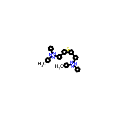 Cc1ccc(-c2nc(-c3ccccc3)nc(-c3cccc(-c4ccc5sc6ccc(-c7cccc(-c8nc(-c9ccccc9)nc(-c9ccc(C)cc9)n8)c7)cc6c5c4)c3)n2)cc1